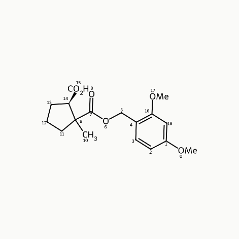 COc1ccc(COC(=O)C2(C)CCC[C@H]2C(=O)O)c(OC)c1